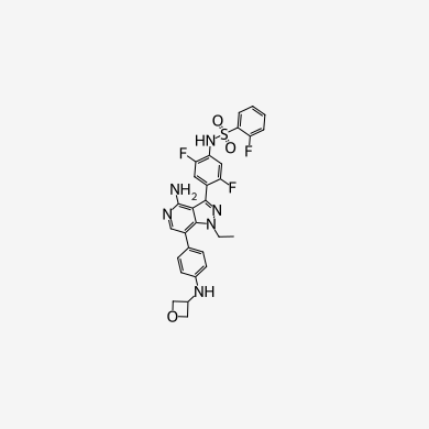 CCn1nc(-c2cc(F)c(NS(=O)(=O)c3ccccc3F)cc2F)c2c(N)ncc(-c3ccc(NC4COC4)cc3)c21